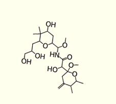 C=C1CC(OC)(C(O)C(=O)NC(OC)C2CC(O)C(C)(C)C(CC(O)CO)O2)OC(C)C1C